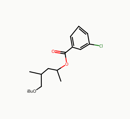 CC(C)COCC(C)CC(C)OC(=O)c1cccc(Cl)c1